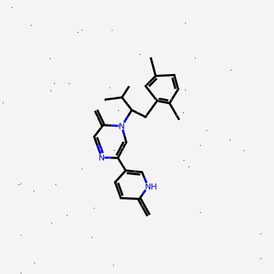 C=C1C=CC(C2=CN(C(Cc3cc(C)ccc3C)C(C)C)C(=C)C=N2)=CN1